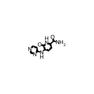 NC(=O)c1ccc(Nc2ccncn2)c(=O)[nH]1